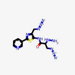 [N-]=[N+]=NCc1nc(-c2cccnc2)sc1NC(=O)C(CN=[N+]=[N-])NN